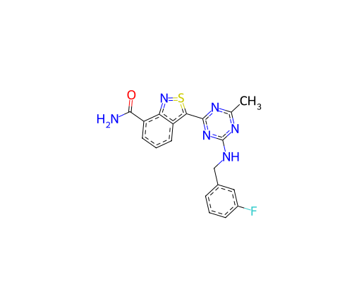 Cc1nc(NCc2cccc(F)c2)nc(-c2snc3c(C(N)=O)cccc23)n1